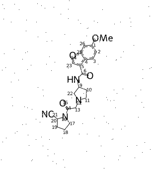 COc1ccc2c(C(=O)NC3CCN(CC(=O)N4CCCC4C#N)C3)coc2c1